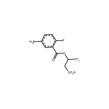 Bc1ccc(F)c(C(=O)OC(CS(=O)(=O)O)C(F)(F)F)c1